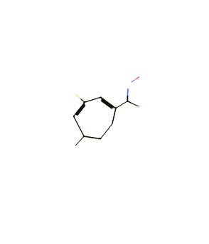 CCC(NO)C1=CC(F)=CC(C(F)(F)F)CC1